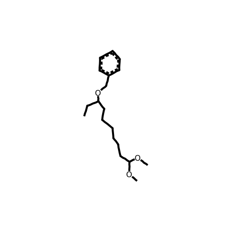 CCC(CCCCCCC(OC)OC)OCc1ccccc1